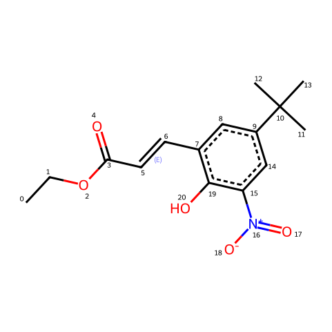 CCOC(=O)/C=C/c1cc(C(C)(C)C)cc([N+](=O)[O-])c1O